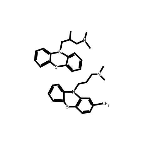 CC(CN(C)C)CN1c2ccccc2Sc2ccccc21.CN(C)CCCN1c2ccccc2Sc2ccc(C(F)(F)F)cc21